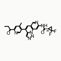 CCC(=O)c1cc(C)c(-c2cc3cnc(NC(=O)[C@H]4CC4(F)F)cc3n3nncc23)cn1